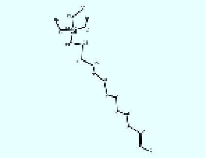 CC=CCCCCCCCCCCC[Si](CC)(CC)CC